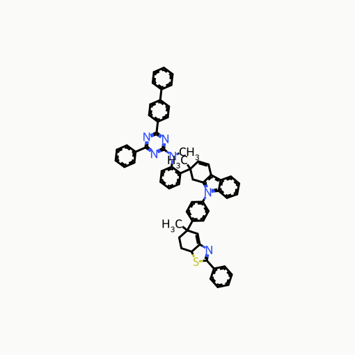 CN(c1nc(-c2ccccc2)nc(-c2ccc(-c3ccccc3)cc2)n1)c1ccccc1C1(C)C=Cc2c(n(-c3ccc(C4(C)C=C5N=C(c6ccccc6)SC5CC4)cc3)c3ccccc23)C1